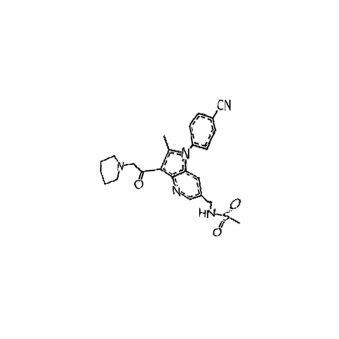 Cc1c(C(=O)CN2CCCCC2)c2ncc(CNS(C)(=O)=O)cc2n1-c1ccc(C#N)cc1